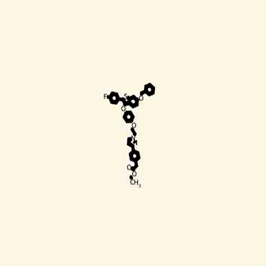 CCOC(=O)Cc1ccc(-c2ccn(CCOc3ccc(Oc4c(-c5ccc(F)cc5)sc5cc(OCc6ccccc6)ccc45)cc3)n2)cc1